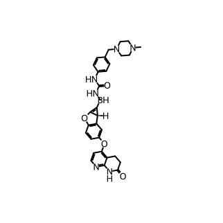 CN1CCN(Cc2ccc(NC(=O)NBC3=C4Oc5ccc(Oc6ccnc7c6CCC(=O)N7)cc5[C@@H]34)cc2)CC1